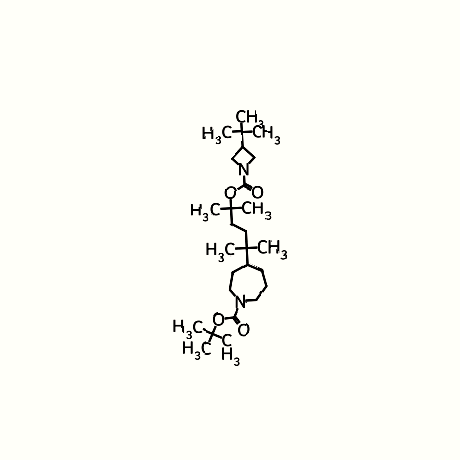 CC(C)(C)OC(=O)N1CCCC(C(C)(C)CCC(C)(C)OC(=O)N2CC(C(C)(C)C)C2)CC1